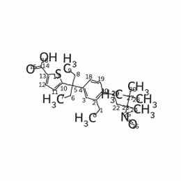 CCc1cc(C(CC)(CC)c2ccc(C(=O)O)s2)ccc1CCC(C)(N=O)C(C)(C)C